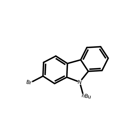 CCCCn1c2ccccc2c2ccc(Br)cc21